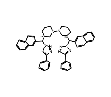 c1ccc(-c2nnn(C(c3ccc4ccccc4c3)[C@@H]3CCCN(N4CCC[C@H](C(c5ccc6ccccc6c5)n5nnc(-c6ccccc6)n5)C4)C3)n2)cc1